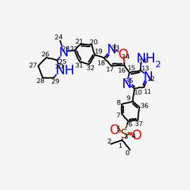 CC(C)S(=O)(=O)c1ccc(-c2cnc(N)c(-c3cc(-c4ccc(N(C)C5CCCCN5)cc4)no3)n2)cc1